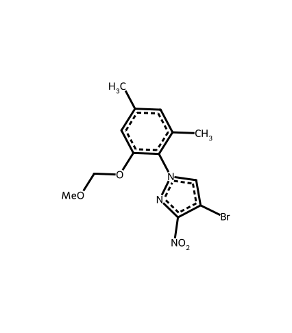 COCOc1cc(C)cc(C)c1-n1cc(Br)c([N+](=O)[O-])n1